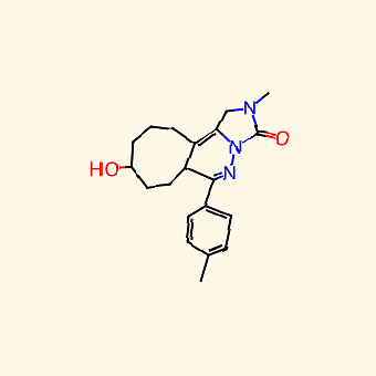 Cc1ccc(C2=NN3C(=O)N(C)CC3=C3CCCC(O)CCC23)cc1